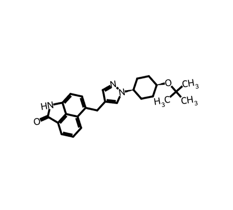 CC(C)(C)O[C@H]1CC[C@@H](n2cc(Cc3ccc4c5c(cccc35)C(=O)N4)cn2)CC1